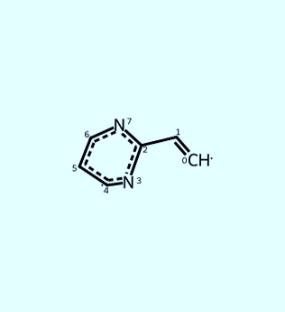 [CH]=Cc1n[c]ccn1